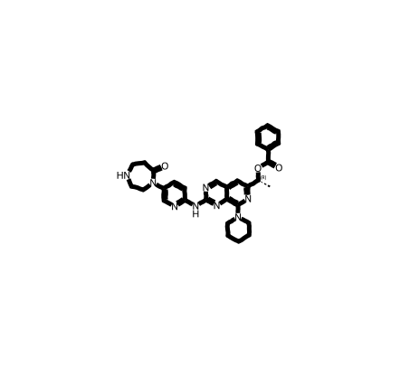 C[C@@H](OC(=O)c1ccccc1)c1cc2cnc(Nc3ccc(N4CCNCCC4=O)cn3)nc2c(N2CCCCC2)n1